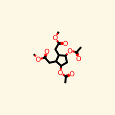 COC(=O)CC1C(OC(C)=O)CC(OC(C)=O)C1CC(=O)OC